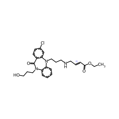 CCOC(=O)/C=C/CNCCCN1c2cc(Cl)ccc2C(=O)N(CCCO)c2ccccc21